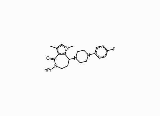 CCCN1CCC(N2CCN(c3ccc(F)cc3)CC2)c2c(c(C)cn2C)C1=O